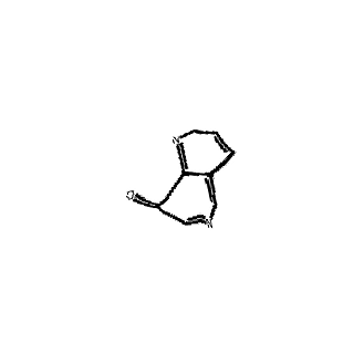 O=C1C=NC=C2C=CCN=C12